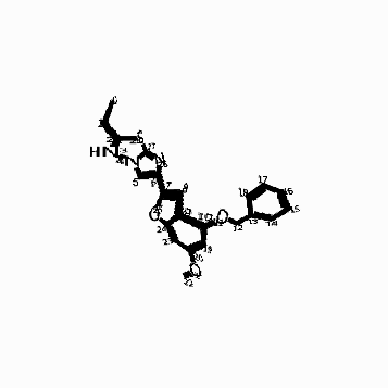 CCC1Nn2cc(-c3cc4c(OCc5ccccc5)cc(OC)cc4o3)nc2S1